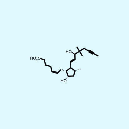 CC#CCC(C)(C)[C@H](O)/C=C/[C@@H]1[C@@H](C/C=C\CCCC(=O)O)[C@@H](O)C[C@H]1C